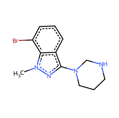 Cn1nc(N2CCCNC2)c2cccc(Br)c21